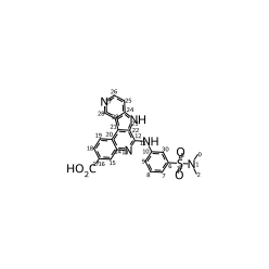 CN(C)S(=O)(=O)c1cccc(Nc2nc3cc(C(=O)O)ccc3c3c2[nH]c2ccncc23)c1